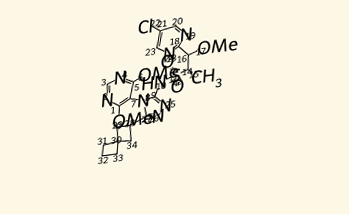 COc1ncnc(OC)c1-n1c(NS(=O)(=O)C(C)C(OC)c2ncc(Cl)cn2)nnc1C1CC2(CCC2)C1